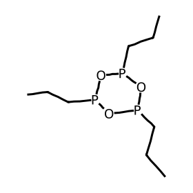 CCCP1OP(CCC)OP(CCC)O1